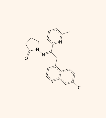 Cc1cccc(C(Cc2ccnc3cc(Cl)ccc23)=NN2CCCC2=O)n1